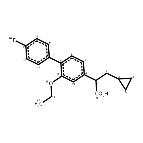 O=C(O)C(CC1CC1)c1ccc(-c2ccc(F)cc2)c(OCC(F)(F)F)c1